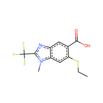 CCSc1cc2c(cc1C(=O)O)nc(C(F)(F)F)n2C